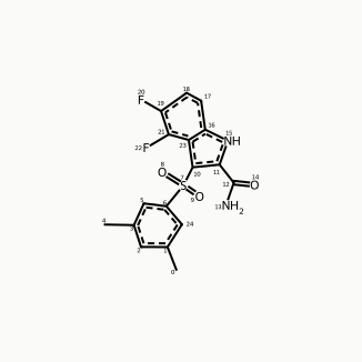 Cc1cc(C)cc(S(=O)(=O)c2c(C(N)=O)[nH]c3ccc(F)c(F)c23)c1